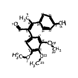 COc1cc(C(C=O)=C(C)c2ccc(O)cc2)cc(OC)c1OC